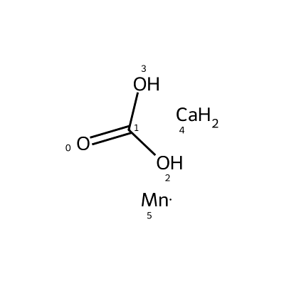 O=C(O)O.[CaH2].[Mn]